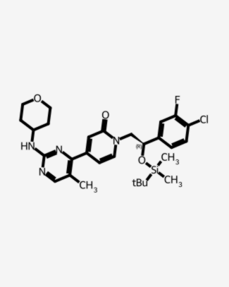 Cc1cnc(NC2CCOCC2)nc1-c1ccn(C[C@H](O[Si](C)(C)C(C)(C)C)c2ccc(Cl)c(F)c2)c(=O)c1